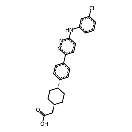 O=C(O)C[C@H]1CC[C@H](c2ccc(-c3ccc(Nc4cccc(Cl)c4)nn3)cc2)CC1